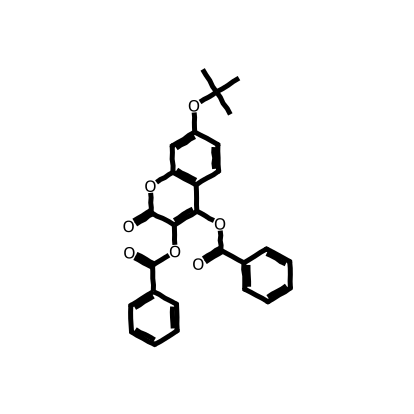 CC(C)(C)Oc1ccc2c(OC(=O)c3ccccc3)c(OC(=O)c3ccccc3)c(=O)oc2c1